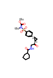 CC(C)(C)OC(=O)N(C(C)(C)C)S(=O)(=O)c1ccc([C@@H]2C[C@H]2C(=O)CNC(=O)C2CCCCC2)cc1